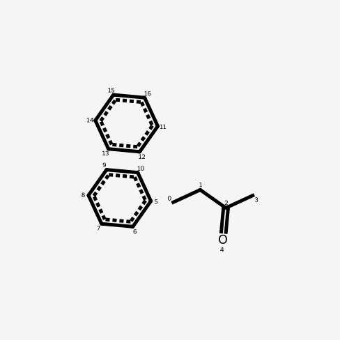 CCC(C)=O.c1ccccc1.c1ccccc1